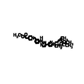 CCOC(=O)CC1CCN(Cc2cccc(Nc3nccc(-c4ccc(N(C)CCCN(C)C(=O)OC(C)(C)C)nc4)n3)c2)CC1